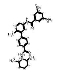 Cc1ncc(NC(=O)c2cc(N)cc(C(C)(C)C)c2)cc1-c1ccc(C(=O)NN2C(C)CCCC2C)cc1